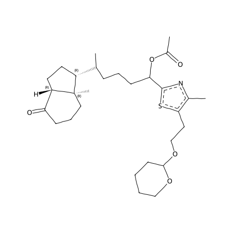 CC(=O)OC(CCCC(C)[C@H]1CC[C@H]2C(=O)CCC[C@]12C)c1nc(C)c(CCOC2CCCCO2)s1